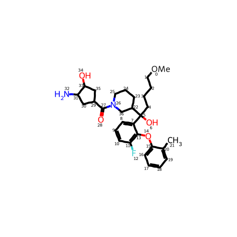 COCCCCC(O)(c1cccc(F)c1Oc1ccccc1C)C1CCCN(C(=O)C2CC(N)C(O)C2)C1